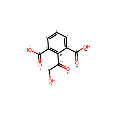 O=C(O)c1cccc(C(=O)O)c1C(=O)CO